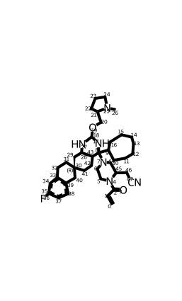 C=CC(=O)N1CCN(C2(C3CCCCCCC3)NC(OCC3CCCN3C)NC3C[C@@]4(CCc5cc(F)ccc5C4)CCC32)CC1CC#N